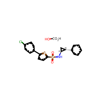 O=C(O)O.O=S(=O)(N[C@H]1C[C@@H]1c1ccccc1)c1ccc(-c2ccc(Cl)cc2)s1